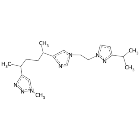 CC(C)c1ccn(CCn2cnc(C(C)CCC(C)c3cn(C)nn3)c2)n1